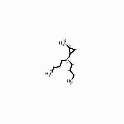 CCCCN(CCCO)C1CC1C